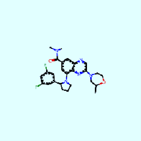 CC1CN(c2cnc3cc(C(=O)N(C)C)cc(N4CCCC4c4cc(F)cc(F)c4)c3n2)CCO1